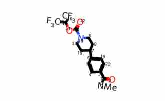 CNC(=O)c1ccc(C2CCN(C(=O)OC(C(F)(F)F)C(F)(F)F)CC2)cc1